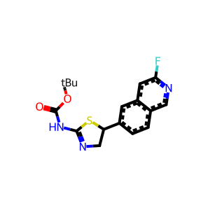 CC(C)(C)OC(=O)NC1=NCC(c2ccc3cnc(F)cc3c2)S1